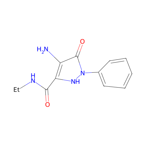 CCNC(=O)c1[nH]n(-c2ccccc2)c(=O)c1N